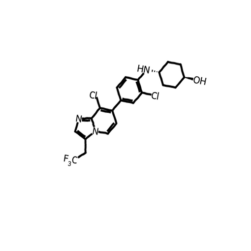 O[C@H]1CC[C@H](Nc2ccc(-c3ccn4c(CC(F)(F)F)cnc4c3Cl)cc2Cl)CC1